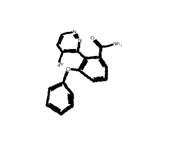 CC(C)c1ccnnc1-c1c(Oc2ccccc2)cccc1C(N)=O